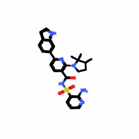 CC1CCN(c2nc(-c3ccc4cc[nH]c4c3)ccc2C(=O)NS(=O)(=O)c2cccnc2N)C1(C)C